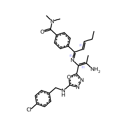 CC/C=C/C(=N\C(=C(/C)N)c1nnc(NCc2ccc(Cl)cc2)o1)c1ccc(C(=O)N(C)C)cc1